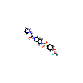 O=C(Cn1cccn1)N1CC2=C(C1)CN(S(=O)(=O)c1ccc(OC(F)F)cc1)C2